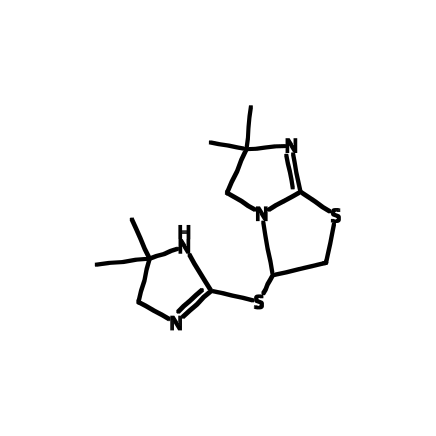 CC1(C)CN2C(=N1)SCC2SC1=NCC(C)(C)N1